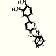 Nc1ccc(-c2ccc(O[C@H]3CN4CCC3CC4)nn2)cc1N